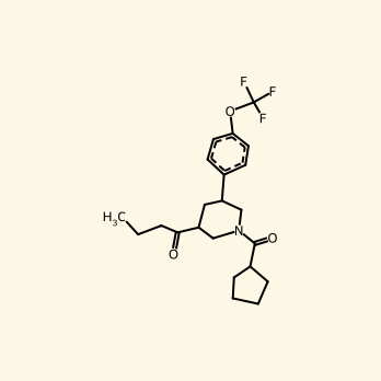 CCCC(=O)C1CC(c2ccc(OC(F)(F)F)cc2)CN(C(=O)C2CCCC2)C1